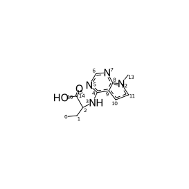 CCC(Nc1ncnc2c1ccn2C)C(=O)O